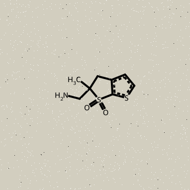 CC1(CN)Cc2ccsc2S1(=O)=O